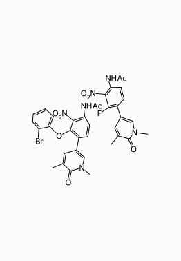 CC(=O)Nc1ccc(-c2cc(C)c(=O)n(C)c2)c(F)c1[N+](=O)[O-].CC(=O)Nc1ccc(-c2cc(C)c(=O)n(C)c2)c(Oc2ccccc2Br)c1[N+](=O)[O-]